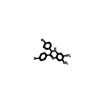 Cc1cc2c(cc1C)NC(c1ccc(Br)cc1)C(c1ccc(Br)cc1)=N2